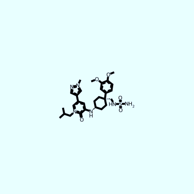 COc1ccc([C@]2(CNS(N)(=O)=O)CC[C@@H](Nc3cc(-c4cnn(C)c4)cn(CC(C)C)c3=O)CC2)cc1OC